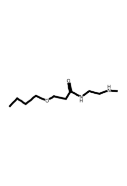 CCCCOCCC(=O)NCCNC